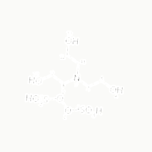 O=S(=O)(O)OOS(=O)(=O)O.OCCN(CCO)CCO